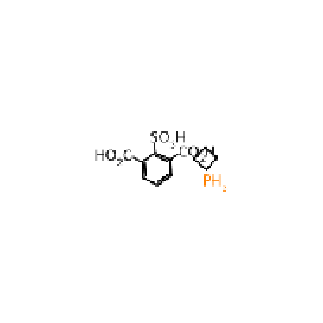 C1CCC1.O=C(O)c1cccc(C(=O)O)c1S(=O)(=O)O.P